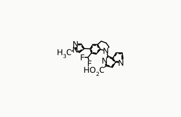 Cn1cc(-c2cc3c(cc2C(F)F)N(c2nc(C(=O)O)cc4ncccc24)CCC3)cn1